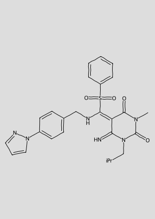 CC(C)CN1C(=N)/C(=C(\NCc2ccc(-n3cccn3)cc2)S(=O)(=O)c2ccccc2)C(=O)N(C)C1=O